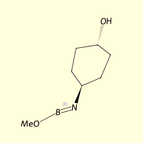 CO/B=N/[C@H]1CC[C@H](O)CC1